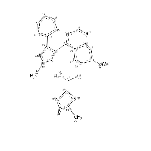 COc1cc2ncnc(-c3cn(C)nc3-c3ccccc3)c2nc1O[C@@H](C)c1nnc(C)s1